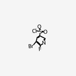 O=S(=O)(Cl)c1cnc(F)c(Br)c1